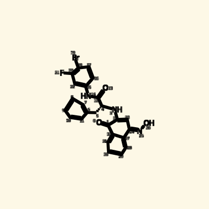 O=C1C(N[C@H](Cc2ccccc2)C(=O)Nc2ccc(Br)c(F)c2)=CC(=NO)c2ccccc21